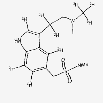 [2H]c1[nH]c2c([2H])c([2H])c(CS(=O)(=O)NC)c([2H])c2c1C([2H])([2H])CN(C)C([2H])([2H])[2H]